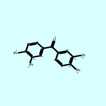 CC(C)c1ccc(C(=O)c2ccc(C(C)C)c(C(C)C)c2)cc1C(C)C